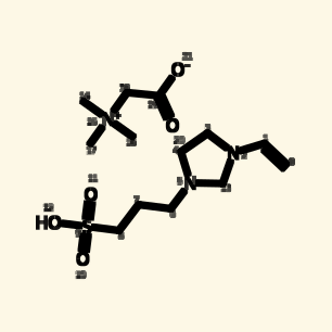 C=CN1CCN(CCCS(=O)(=O)O)C1.C[N+](C)(C)CC(=O)[O-]